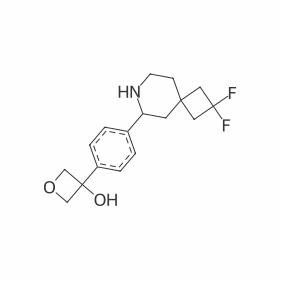 OC1(c2ccc(C3CC4(CCN3)CC(F)(F)C4)cc2)COC1